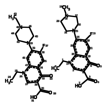 CCn1cc(C(=O)O)c(=O)c2cc(F)c(N3CCN(C)CC3)cc21.CCn1cc(C(=O)O)c(=O)c2cc(F)c(N3CCN(C)CC3)cc21